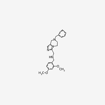 COc1ccc(CNCc2ncc3n2CCN(Cc2ccccc2)C3)c(OC)c1